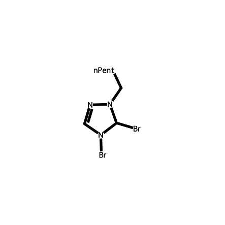 CCCCCCN1N=CN(Br)C1Br